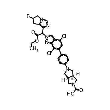 CCOC(=O)C(c1ncn2c1CC(F)C2)n1cc2c(Cl)cc(-c3ccc(N4C[C@H]5CN(C(=O)O)C[C@H]5C4)cc3)c(Cl)c2n1